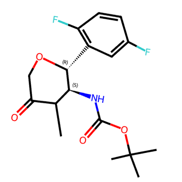 CC1C(=O)CO[C@H](c2cc(F)ccc2F)[C@H]1NC(=O)OC(C)(C)C